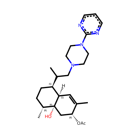 CC(=O)O[C@@H]1[CH][C@@]2(O)[C@H](C)CC[C@@H](C(C)CN3CCN(c4ncccn4)CC3)[C@H]2C=C1C